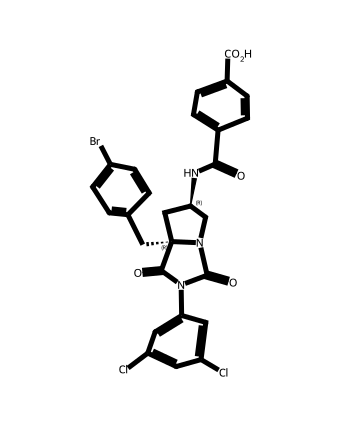 O=C(O)c1ccc(C(=O)N[C@H]2CN3C(=O)N(c4cc(Cl)cc(Cl)c4)C(=O)[C@@]3(Cc3ccc(Br)cc3)C2)cc1